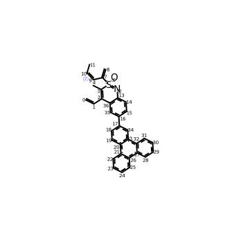 C=CC1=C(C)S(=O)(C(=C)/C=C\C)=Nc2ccc(-c3ccc4c5ccccc5c5ccccc5c4c3)cc21